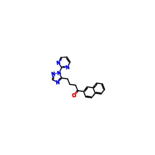 O=C(CCCc1ncnn1-c1ncccn1)c1ccc2ccccc2c1